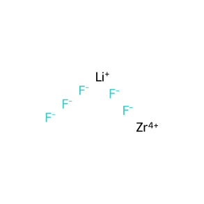 [F-].[F-].[F-].[F-].[F-].[Li+].[Zr+4]